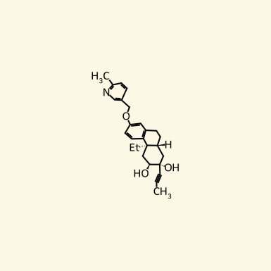 CC#C[C@]1(O)C[C@H]2CCc3cc(OCc4ccc(C)nc4)ccc3[C@]2(CC)C[C@@H]1O